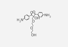 Nc1ccc(C(=O)C(O)(COCCOCCO)C(=O)c2ccc(N)cc2)cc1